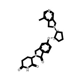 Cc1cncc2c1CN([C@H]1CCC[C@@H]1Oc1ccc3c(c1)CN(C1CCC(=O)NC1=O)C3=O)C2